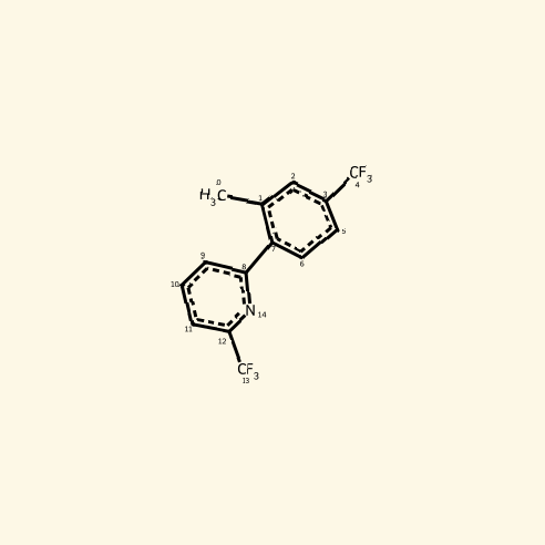 Cc1cc(C(F)(F)F)ccc1-c1cccc(C(F)(F)F)n1